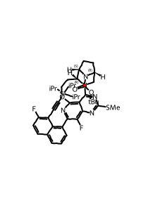 CSc1nc2c3c(nc(-c4cccc5ccc(F)c(C#C[Si](C(C)C)(C(C)C)C(C)C)c45)c(F)c3n1)OCC[C@@H]1[C@@H]3CC[C@H](CN21)N3C(=O)OC(C)(C)C